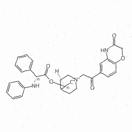 O=C1COc2ccc(C(=O)C[N+]34CCC(CC3)[C@@H](OC(=O)[C@H](Nc3ccccc3)c3ccccc3)C4)cc2N1